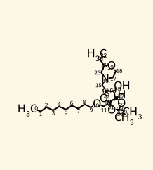 CCCCCCCCCCOC[C@@]12O[C@@H](CN3CCOC(CC)C3)[C@@H](O)[C@@H]1OC(C)(C)O2